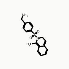 CC1=c2ccccc2=CCN1S(=O)(=O)c1ccc(CN)cc1